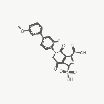 COc1cccc(-c2ccc(N3CC(=O)C4=C(C3=O)C(C(=O)O)SC4S(=O)(=O)O)c(F)c2)c1